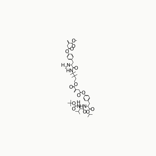 C=C(CC(=O)Oc1ccc(CC(N)C(=O)NC(C)(C)C(C)(C)CCOC(=O)C(=C)CC(=O)Oc2ccc(CC(NC(=O)C(NC(=O)OC(C)(C)C)C(C)C)C(=O)OC(C)C)cc2)cc1)C(=O)OC